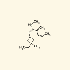 C=C(/C=C\C)/C(=C\C1CC(C)(CC)C1)NC